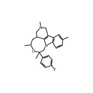 Cc1ccc2c(c1)c1c3n2CC(C)(c2ccc(F)cc2)OC(C)CC3CN(C)C1